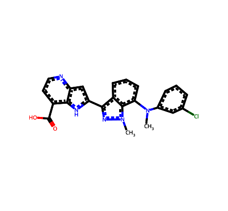 CN(c1cccc(Cl)c1)c1cccc2c(-c3cc4nccc(C(=O)O)c4[nH]3)nn(C)c12